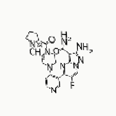 CN1CCC[C@H]1C(=O)N1CCN(c2ccncc2-c2nc3c(C(N)=O)c(N)nn3cc2F)CC1